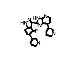 Fc1c(-c2cccnc2)ccc2[nH]nc(-c3nc4c(-c5cccnc5)ccnc4[nH]3)c12